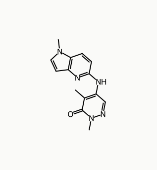 Cc1c(Nc2ccc3c(ccn3C)n2)cnn(C)c1=O